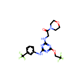 O=C(CNc1nc(Nc2cccc(C(F)(F)F)c2)nc(OCC(F)(F)F)n1)N1CCOCC1